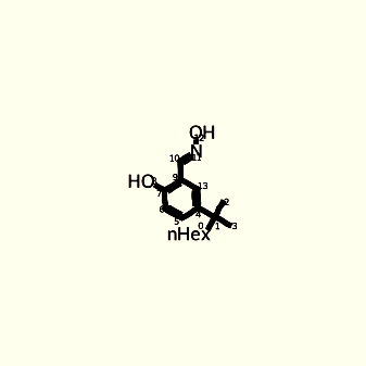 CCCCCCC(C)(C)c1ccc(O)c(C=NO)c1